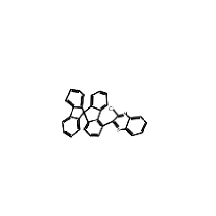 Clc1nc2ccccc2nc1-c1cccc2c1-c1ccccc1C21c2ccccc2-c2ccccc21